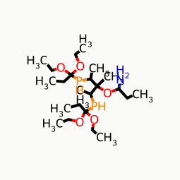 CCOC(CC)(OCC)PC(C)C(C)(OC(N)CC)C(C)PC(CC)(OCC)OCC